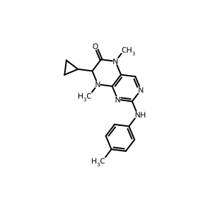 Cc1ccc(Nc2ncc3c(n2)N(C)C(C2CC2)C(=O)N3C)cc1